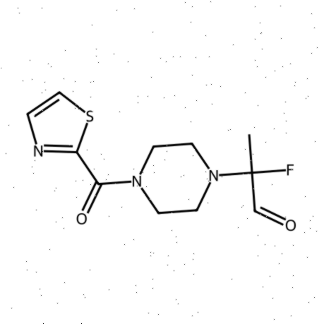 CC(F)(C=O)N1CCN(C(=O)c2nccs2)CC1